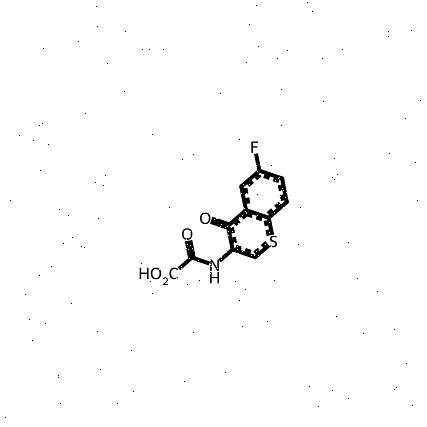 O=C(O)C(=O)Nc1csc2ccc(F)cc2c1=O